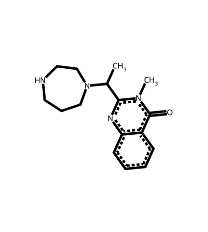 CC(c1nc2ccccc2c(=O)n1C)N1CCCNCC1